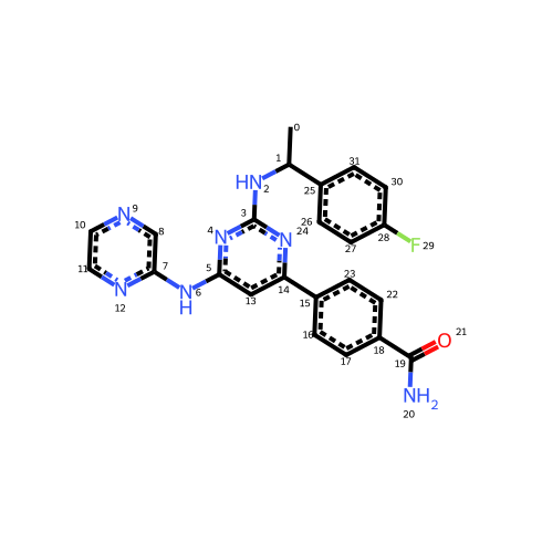 CC(Nc1nc(Nc2cnccn2)cc(-c2ccc(C(N)=O)cc2)n1)c1ccc(F)cc1